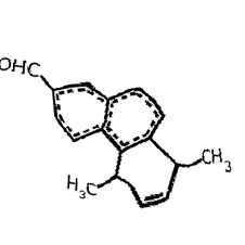 CC1C=CC(C)c2c1ccc1cc(C=O)ccc21